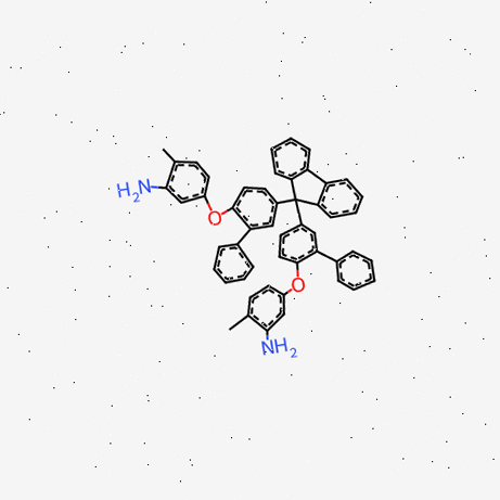 Cc1ccc(Oc2ccc(C3(c4ccc(Oc5ccc(C)c(N)c5)c(-c5ccccc5)c4)c4ccccc4-c4ccccc43)cc2-c2ccccc2)cc1N